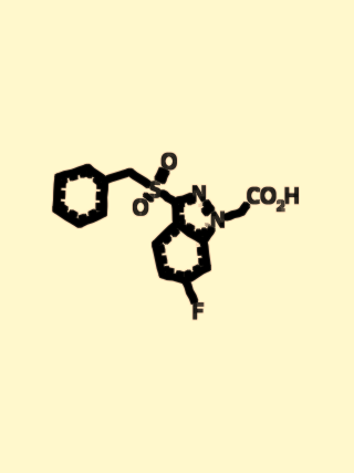 O=C(O)Cn1nc(S(=O)(=O)Cc2ccccc2)c2ccc(F)cc21